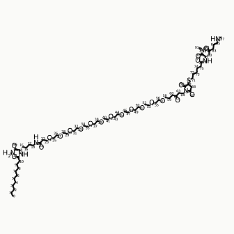 CCCCCCCCCCCC(=O)N[C@@H](CCCCNC(=O)CCOCCOCCOCCOCCOCCOCCOCCOCCOCCOCCOCCOCCCC(=O)CCN1C(=O)CC(SCCCCCC(=O)N[C@@H](CC(=O)CCCNC)C(=O)NC)C1=O)C(N)=O